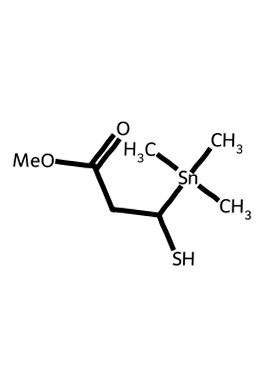 COC(=O)C[CH](S)[Sn]([CH3])([CH3])[CH3]